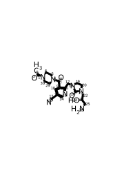 CC(=O)N1CCN(C(=O)c2cc(C#N)cnc2CN2CCN(C[C@H](O)CN)C2=O)CC1